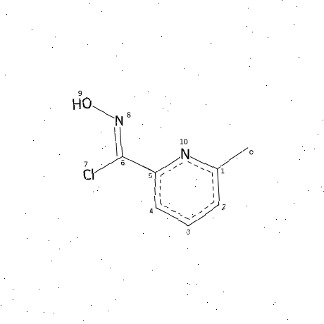 Cc1cccc(C(Cl)=NO)n1